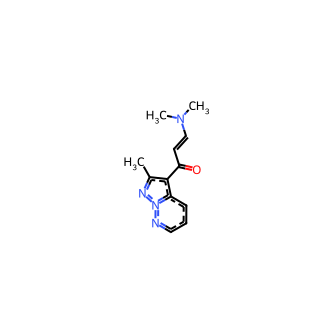 Cc1nn2ncccc2c1C(=O)/C=C/N(C)C